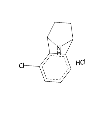 Cl.Clc1cccc2c1C1CCC2N1